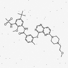 COCCN1CCN(c2ccc3ncnc(Sc4cc(C(=O)Nc5cc(C(C)(C)C)cc(NS(C)(=O)=O)c5OC)ccc4C)c3n2)CC1